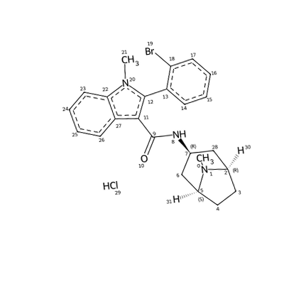 CN1[C@@H]2CC[C@H]1C[C@@H](NC(=O)c1c(-c3ccccc3Br)n(C)c3ccccc13)C2.Cl